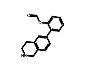 O=COc1ccccc1-c1ccc2c(c1)CCNC2